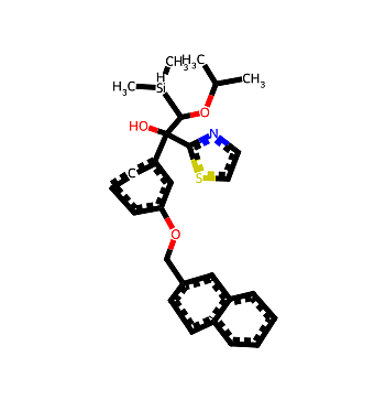 CC(C)OC([SiH](C)C)C(O)(c1cccc(OCc2ccc3ccccc3c2)c1)c1nccs1